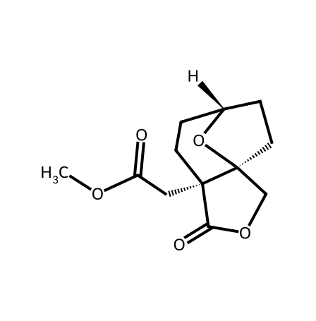 COC(=O)C[C@]12CC[C@@H]3CC[C@@]1(COC2=O)O3